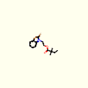 CCC(C)(C)C(=O)OCCn1c(=S)sc2ccccc21